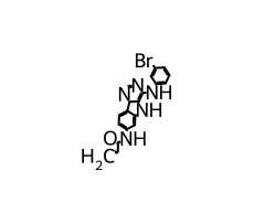 C=CC(=O)Nc1ccc2c(c1)[nH]c1c(Nc3cccc(Br)c3)ncnc12